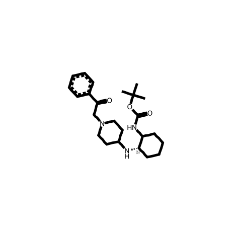 CC(C)(C)OC(=O)NC1CCCC[C@@H]1NC1CCN(CC(=O)c2ccccc2)CC1